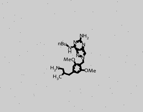 CCCCNc1nc(N)nc2cn(Cc3c(OC)cc(CC(C)CN)cc3OC)nc12